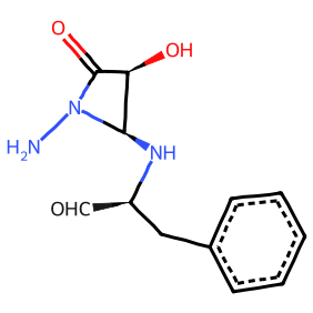 NN1C(=O)[C@@H](O)[C@H]1N[C@H](C=O)Cc1ccccc1